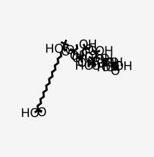 CC(C)(C)C(=O)O.CCC(=O)O.CCCCCCCCCCCCCCCCCC(=O)O.O=C(O)C(O)C(O)C(=O)O.O=C(O)CCC(=O)O.O=P(O)(O)O.O=S(=O)(O)O